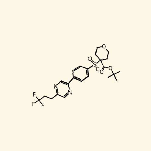 CC(C)(C)OC(=O)C1(S(=O)(=O)c2ccc(-c3cnc(CCC(F)(F)F)cn3)cc2)CCOCC1